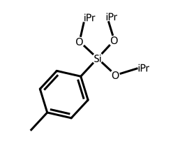 Cc1ccc([Si](OC(C)C)(OC(C)C)OC(C)C)cc1